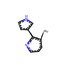 CC(C)(C)c1cccnc1-c1cc[nH]c1